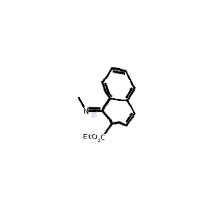 CCOC(=O)C1C=Cc2ccccc2/C1=N\C